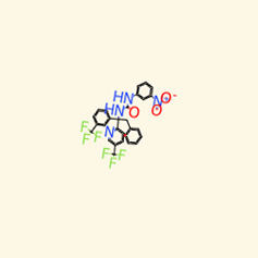 O=C(Nc1cccc([N+](=O)[O-])c1)NC(Cc1ccccc1)(c1cccc(C(F)(F)F)c1)c1ccc(C(F)(F)F)cn1